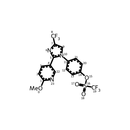 COc1ccc(-c2nc(C(F)(F)F)cn2-c2ccc(OS(=O)(=O)C(F)(F)F)cc2)cn1